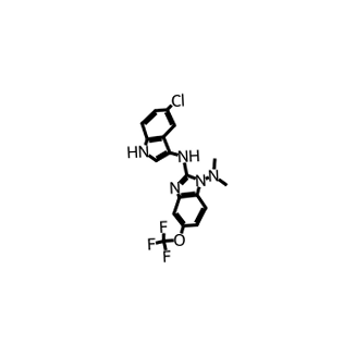 CN(C)n1c(Nc2c[nH]c3ccc(Cl)cc23)nc2cc(OC(F)(F)F)ccc21